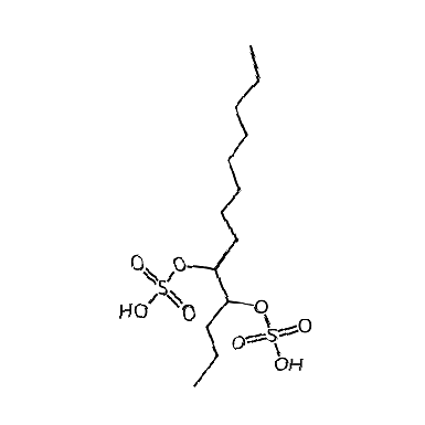 CCCCCCCCC(OS(=O)(=O)O)C(CCC)OS(=O)(=O)O